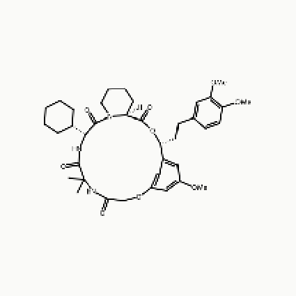 COc1cc2cc(c1)[C@@H](CCc1ccc(OC)c(OC)c1)OC(=O)[C@@H]1CCCCN1C(=O)[C@@H](C1CCCCC1)NC(=O)C(C)(C)NC(=O)CO2